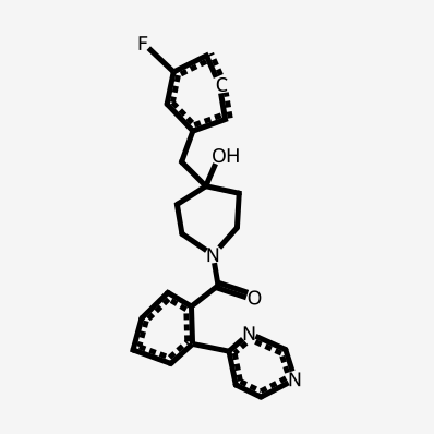 O=C(c1ccccc1-c1ccncn1)N1CCC(O)(Cc2cccc(F)c2)CC1